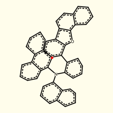 c1ccc(N(c2cccc3ccccc23)c2cc3ccccc3c3ccccc23)c(-c2cccc3c2oc2c4ccccc4ccc32)c1